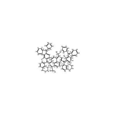 Cc1cc2c(c(C)c1N(c1cccc3c1CCCC3)c1cc(C(C)C)c3ccc4c(N(c5cccc6c5CCCC6)c5c(C)cc6c7ccccc7n(-c7ccccc7)c6c5C)cc(C(C)C)c5ccc1c3c54)c1ccccc1n2-c1ccccc1